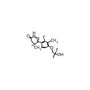 Cc1c(OCC(O)(F)F)ccc(C2=NNC(=O)C[C@H]2C)c1F